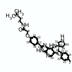 CN(C)CCNC(=O)COc1ccc(-c2nc3c(N[C@@]4(Cc5ccc(F)cc5)CCNC4)c(Cl)cnc3[nH]2)cc1